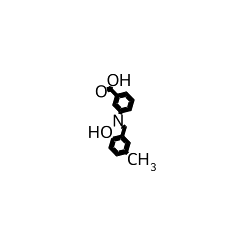 Cc1ccc(O)c(/C=N/c2cccc(C(=O)O)c2)c1